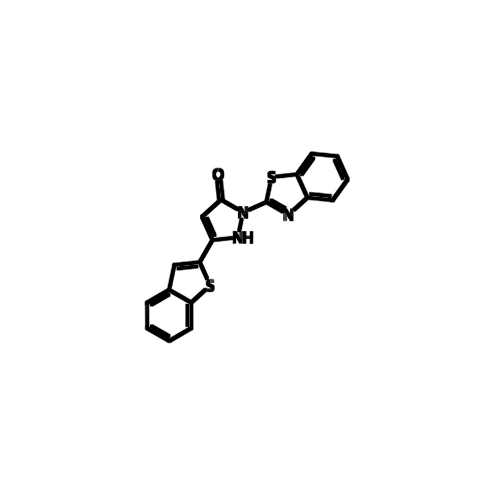 O=c1cc(-c2cc3ccccc3s2)[nH]n1-c1nc2ccccc2s1